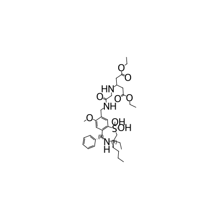 CCCC[C@]1(CC)CS(O)(O)c2cc(CNC(=O)CNC(CC(=O)OCC)CC(=O)OCC)c(OC)cc2[C@@H](c2ccccc2)N1